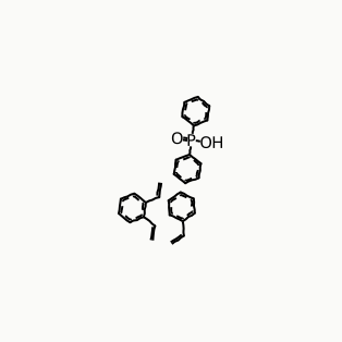 C=Cc1ccccc1.C=Cc1ccccc1C=C.O=P(O)(c1ccccc1)c1ccccc1